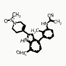 C=C(C#N)Nc1cccc(-c2ccc(C=O)c3[nH]c(C4=CCN([S+](C)[O-])CC4)cc23)c1C